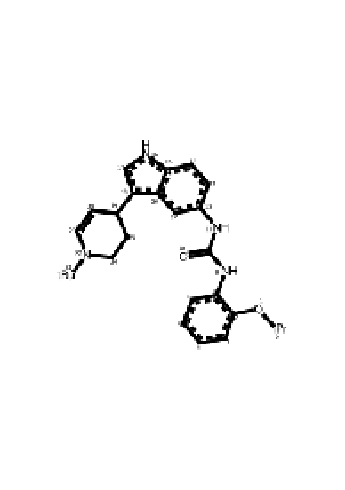 CC(C)Oc1ccccc1NC(=O)Nc1ccc2[nH]cc(C3C=CN(C(C)(C)C)CC3)c2c1